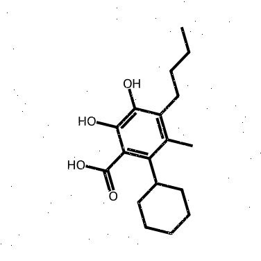 CCCCc1c(C)c(C2CCCCC2)c(C(=O)O)c(O)c1O